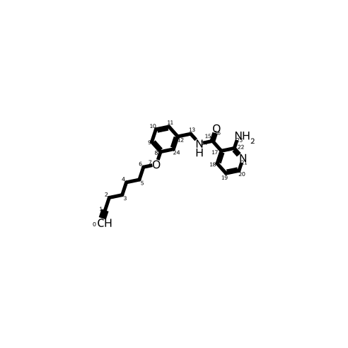 C#CCCCCCOc1cccc(CNC(=O)c2cccnc2N)c1